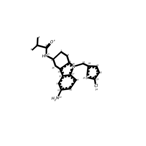 CC(C)C(=O)NC1CCc2c(c3cc(N)ccc3n2Cc2ccc(Cl)s2)C1